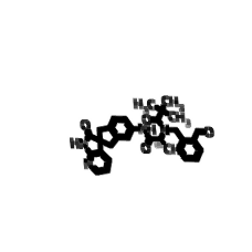 C[C@@H](C(=O)Nc1ccc2c(c1)CC1(C2)C(=O)Nc2ncccc21)N(Cc1ccccc1C=O)C(=O)C(C)(C)C